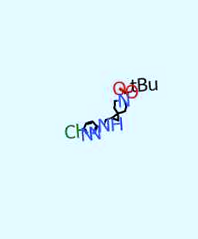 CC(C)(C)OC(=O)N1CCC2(CC1)C[C@H]2CNc1ccc(Cl)nn1